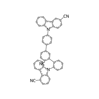 N#Cc1ccc2c(c1)c1ccccc1n2-c1ccc(-c2ccc(C#N)c(-c3ccccc3-n3c4ccccc4c4c(C#N)cccc43)c2)cc1